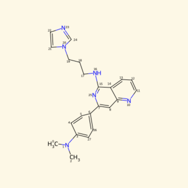 CN(C)c1ccc(-c2cc3ncccc3c(NCCCn3ccnc3)n2)cc1